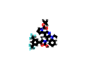 CCN(c1ncc(-c2cccn2C(=O)OC(C)(C)C)cc1CN1C(=O)OC(c2cc(C(F)(F)F)cc(C(F)(F)F)c2)[C@@H]1C)C1CCCCC1